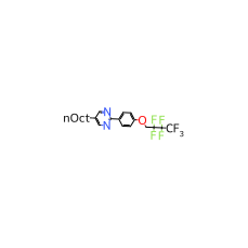 CCCCCCCCc1cnc(-c2ccc(OCC(F)(F)C(F)(F)C(F)(F)F)cc2)nc1